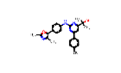 Cc1nc(C)c(-c2ccc(Nc3nc(-c4ccc(C(F)(F)F)cc4)cc(C(C)(C)O)n3)cc2)o1